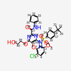 COc1ccc(Cl)c(Oc2c(NS(=O)(=O)c3ccc(C(C)(C)C)cc3)nc(C(=O)Nc3ccccc3)nc2OCCO)c1